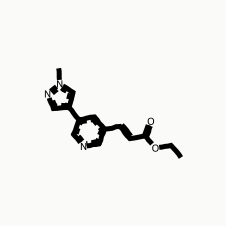 CCOC(=O)/C=C/c1cncc(-c2cnn(C)c2)c1